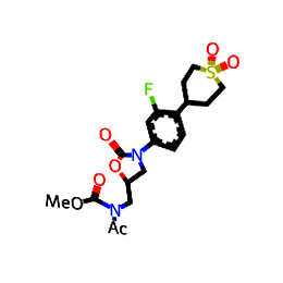 [CH2]OC(=O)N(CC1CN(c2ccc(C3CCS(=O)(=O)CC3)c(F)c2)C(=O)O1)C(C)=O